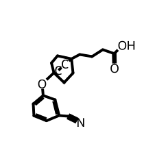 N#Cc1cccc(OC23CCC(CCCC(=O)O)(CC2)CC3)c1